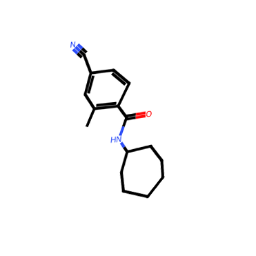 Cc1cc(C#N)ccc1C(=O)NC1CCCCCC1